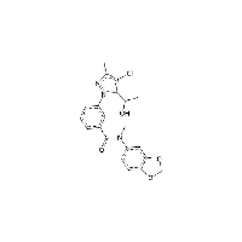 Cc1nn(-c2cccc(C(=O)N(C)c3ccc4c(c3)OCO4)c2)c(C(C)O)c1Cl